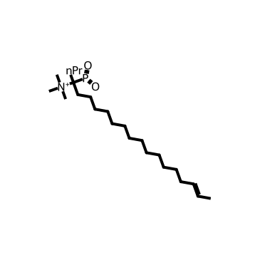 CC=CCCCCCCCCCCCCCC(CCC)(P(=O)=O)[N+](C)(C)C